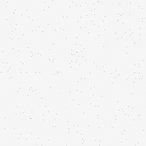 C=C(C)C(=O)OCC(O)COC(=O)C1CC2C=CC1C2